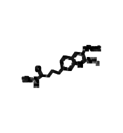 CCCCCc1cc2ccc(CCCC(=O)NC(C)(C)C)cc2nc1N